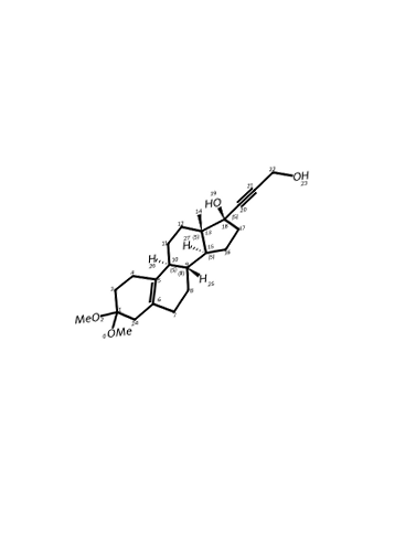 COC1(OC)CCC2=C(CC[C@@H]3[C@@H]2CC[C@@]2(C)[C@H]3CC[C@@]2(O)C#CCO)C1